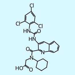 O=C(O)CN(C(=O)c1nc2ccccc2cc1NC(=O)Nc1c(Cl)cc(Cl)cc1Cl)C1CCCCC1